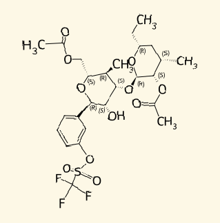 CC[C@@H]1C[C@H](C)[C@H](OC(C)=O)[C@@H](O[C@H]2[C@H](C)[C@@H](COC(C)=O)O[C@H](c3cccc(OS(=O)(=O)C(F)(F)F)c3)[C@H]2O)O1